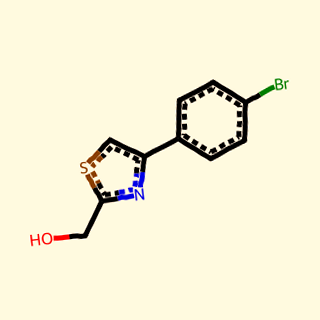 OCc1nc(-c2ccc(Br)cc2)cs1